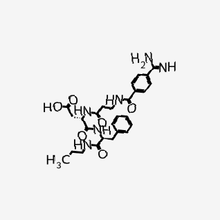 CCCNC(=O)[C@H](Cc1ccccc1)NC(=O)[C@H](CC(=O)O)NC(=O)CCNC(=O)c1ccc(C(=N)N)cc1